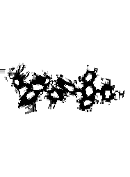 Cc1ccc(-c2c3ccccc3c(-c3ccc4oc5c(-c6c7ccccc7c(-c7ccc(C(F)(F)F)cc7)c7ccccc67)cccc5c4c3)c3ccccc23)cc1